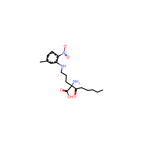 CCCCCC(=O)[C@@](N)(CCCNc1cc(C)ccc1[N+](=O)[O-])C(=O)O